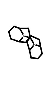 C1CC2CCCC(C1)N2CN1C2CCCC1CCC2